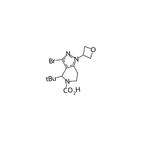 CC(C)(C)C1c2c(Br)nn(C3COC3)c2CCN1C(=O)O